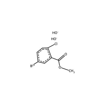 [B+2]c1ccc(Cl)c(C(=O)OC)c1.[OH-].[OH-]